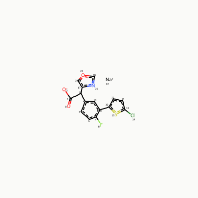 O=C([O-])C(c1ccc(F)c(-c2ccc(Cl)s2)c1)c1cocn1.[Na+]